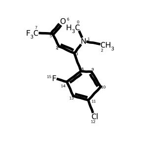 CN(C)/C(=[C]\C(=O)C(F)(F)F)c1ccc(Cl)cc1F